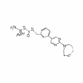 N=C(N)NC(=O)NCc1cccc(-c2cnc(N3CCCOCC3)nc2)c1